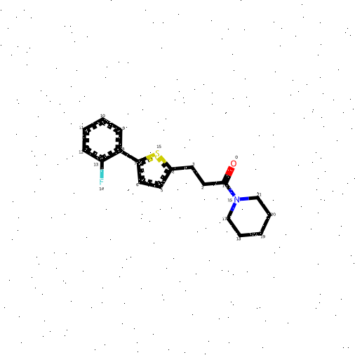 O=C(CCc1ccc(-c2ccccc2F)s1)N1CCCCC1